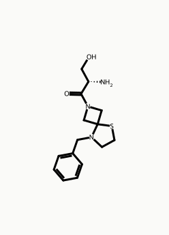 N[C@@H](CO)C(=O)N1CC2(C1)SCCN2Cc1ccccc1